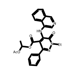 CCn1nc(-c2ccccc2)c(C(=O)OC(C)OC(C)=O)c(Nc2cncc3ccccc23)c1=O